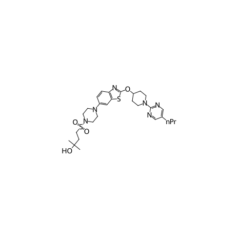 CCCc1cnc(N2CCC(Oc3nc4ccc(N5CCN(S(=O)(=O)CCC(C)(C)O)CC5)cc4s3)CC2)nc1